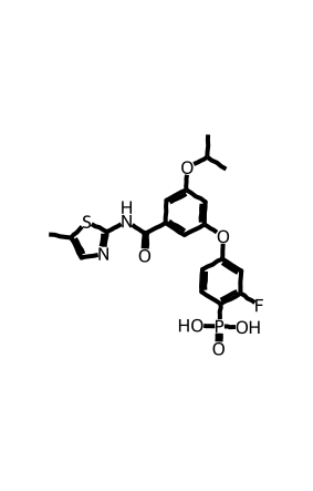 Cc1cnc(NC(=O)c2cc(Oc3ccc(P(=O)(O)O)c(F)c3)cc(OC(C)C)c2)s1